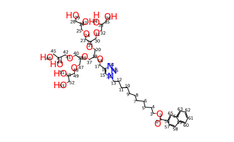 O=C(OCCCCCCCCCCCn1cc(COC(COC(COCC(O)CO)COCC(O)CO)COC(COCC(O)CO)COCC(O)CO)nn1)c1ccc2ccccc2c1